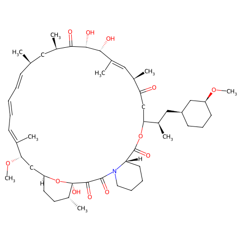 CO[C@H]1CCC[C@@H](C[C@@H](C)C2CC(=O)[C@H](C)/C=C(\C)[C@@H](O)[C@@H](O)C(=O)[C@H](C)C[C@H](C)/C=C/C=C/C=C(\C)[C@@H](OC)C[C@@H]3CC[C@@H](C)[C@@](O)(O3)C(=O)C(=O)N3CCCC[C@H]3C(=O)O2)C1